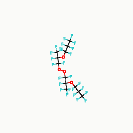 FC(F)(F)C(F)(F)C(F)(F)OC(F)(C(F)(F)F)C(F)(F)OOC(F)(F)C(F)(OC(F)(F)C(F)(F)C(F)(F)F)C(F)(F)F